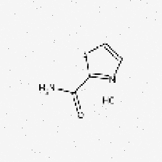 Cl.NC(=O)c1nccs1